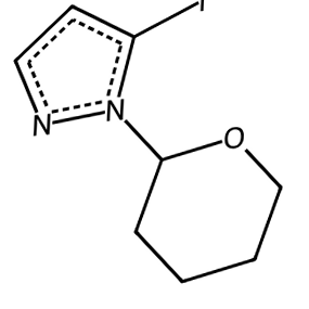 Ic1ccnn1C1CCCCO1